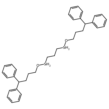 c1ccc(C(CCCO[SiH2]CCC[SiH2]OCCCC(c2ccccc2)c2ccccc2)c2ccccc2)cc1